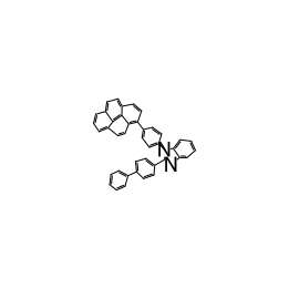 c1ccc(-c2ccc(-c3nc4ccccc4n3-c3ccc(-c4ccc5ccc6cccc7ccc4c5c67)cc3)cc2)cc1